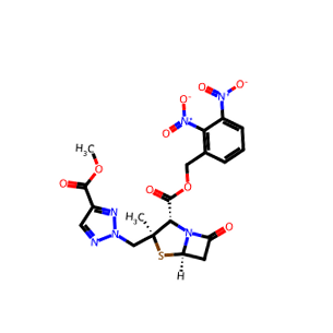 COC(=O)c1cnn(C[C@]2(C)S[C@@H]3CC(=O)N3[C@H]2C(=O)OCc2cccc([N+](=O)[O-])c2[N+](=O)[O-])n1